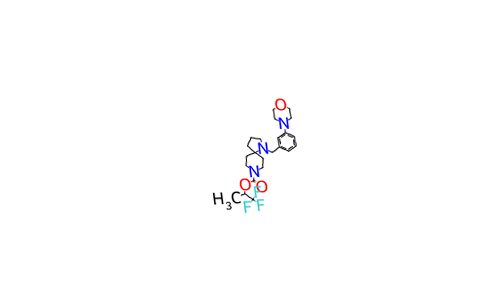 CC(OC(=O)N1CCC2(CCCN2Cc2cccc(N3CCOCC3)c2)CC1)C(F)(F)F